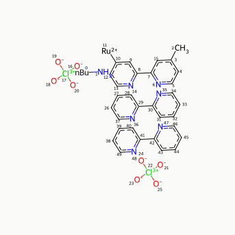 CCCCN.Cc1ccnc(-c2c[c]([Ru+2])ccn2)c1.[O-][Cl+3]([O-])([O-])[O-].[O-][Cl+3]([O-])([O-])[O-].c1ccc(-c2ccccn2)nc1.c1ccc(-c2ccccn2)nc1